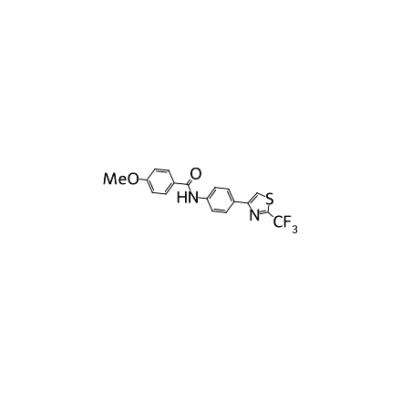 COc1ccc(C(=O)Nc2ccc(-c3csc(C(F)(F)F)n3)cc2)cc1